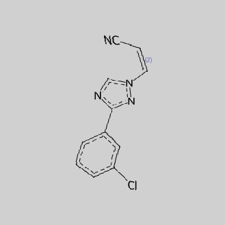 N#C/C=C\n1cnc(-c2cccc(Cl)c2)n1